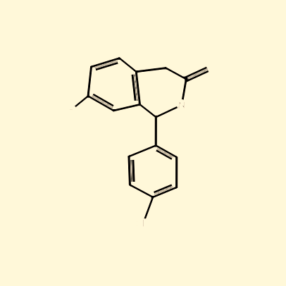 O=C1Cc2ccc(F)cc2C(c2ccc(Cl)cc2)N1